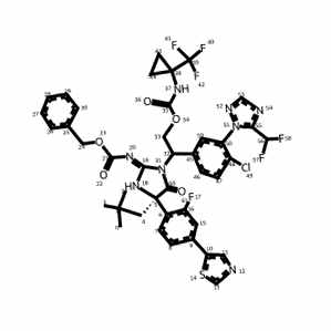 CC(C)(C)C[C@]1(c2ccc(-c3cncs3)cc2F)NC(=NC(=O)OCc2ccccc2)N(C(COC(=O)NC2(C(F)(F)F)CC2)c2ccc(Cl)c(-n3ncnc3C(F)F)c2)C1=O